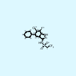 O=S(=O)(CC(F)(F)F)Nc1n[nH]c2c(F)c(Cl)c(-c3ccccc3)cc12